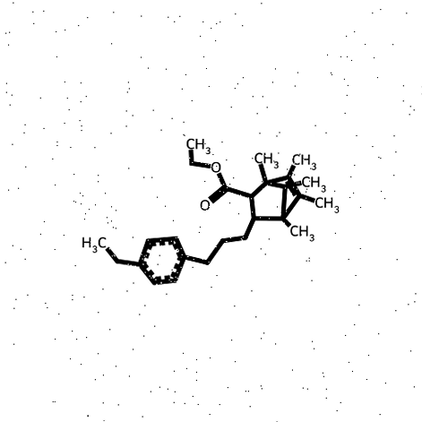 CCOC(=O)C1C(CCCc2ccc(CC)cc2)C2(C)C(C)=C(C)C1(C)C2C